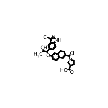 CC(C)C(Oc1ccc2c(c1)CCC(C(Cl)N1CCC(C(=O)O)C1)=C2)c1ccc2[nH]nc(Cl)c2c1